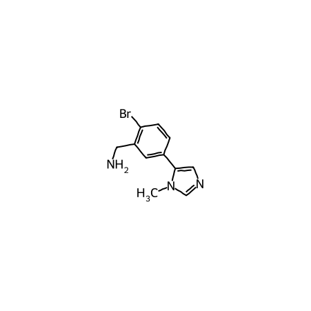 Cn1cncc1-c1ccc(Br)c(CN)c1